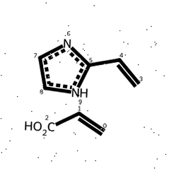 C=CC(=O)O.C=Cc1ncc[nH]1